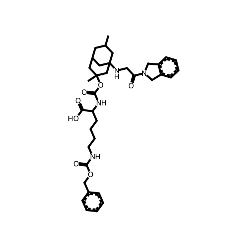 CC1CC2CC(NCC(=O)N3Cc4ccccc4C3)(C1)CC(C)(OC(=O)NC(CCCCNC(=O)OCc1ccccc1)C(=O)O)C2